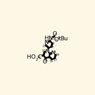 CC(C)(C)OC(=O)Nc1ccc(-n2cc(C(=O)O)c(=O)c3cccnc32)cn1